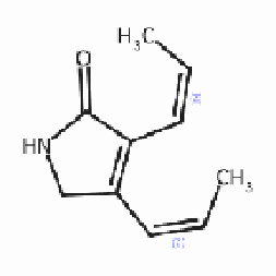 C/C=C\C1=C(/C=C\C)C(=O)NC1